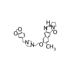 Cc1cc2cc3c(cc2cc1OCCN1CCN(Cc2ccc4c(c2)OCO4)CC1)N=C[C@@H]1CCCN1C3=O